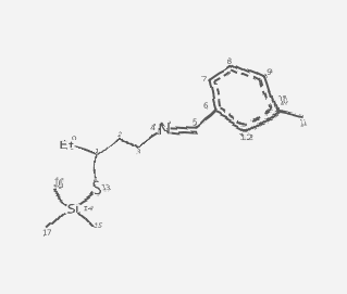 CCC(CC/N=C/c1cccc(C)c1)S[Si](C)(C)C